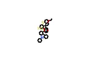 C=C/C=C\C=C/C1(c2cccc(-c3cccc4c3c3ccccc3n4-c3ccccc3)c2S)c2ccccc2Sc2cccc(-c3ccccc3)c21